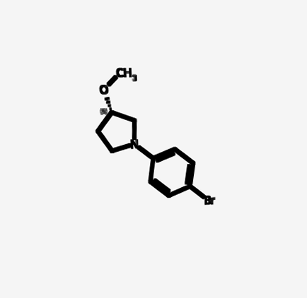 CO[C@H]1CCN(c2ccc(Br)cc2)C1